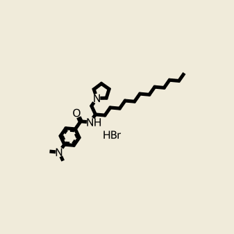 Br.CCCCCCCCCCCCC(CN1CCCC1)NC(=O)c1ccc(N(C)C)cc1